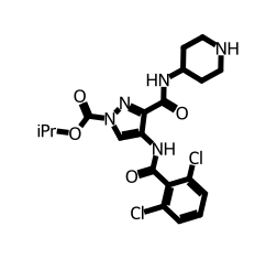 CC(C)OC(=O)n1cc(NC(=O)c2c(Cl)cccc2Cl)c(C(=O)NC2CCNCC2)n1